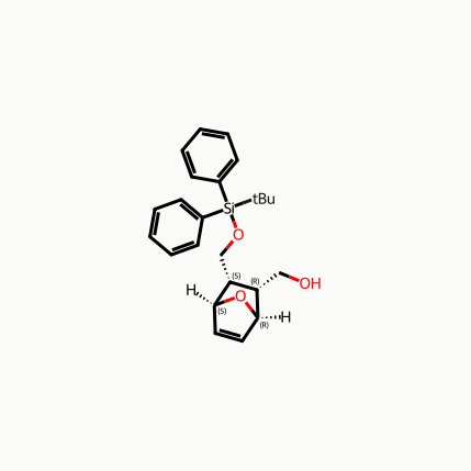 CC(C)(C)[Si](OC[C@@H]1[C@H](CO)[C@H]2C=C[C@@H]1O2)(c1ccccc1)c1ccccc1